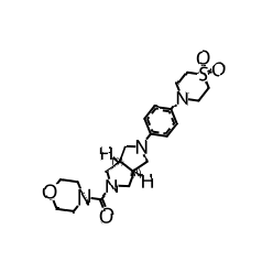 O=C(N1CCOCC1)N1C[C@@H]2CN(c3ccc(N4CCS(=O)(=O)CC4)cc3)C[C@@H]2C1